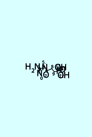 CN=C(N)N(C)C(=O)CCP(=O)(O)O